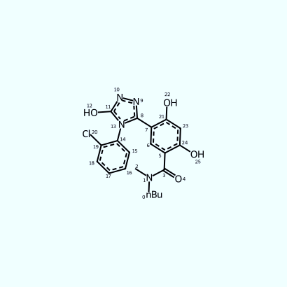 CCCCN(C)C(=O)c1cc(-c2nnc(O)n2-c2ccccc2Cl)c(O)cc1O